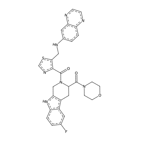 O=C(C1Cc2c([nH]c3ccc(F)cc23)CN1C(=O)c1ncsc1CNc1ccc2nccnc2c1)N1CCOCC1